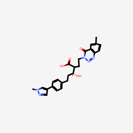 Cc1ccc2nnn(CCC(C(=O)O)[C@H](O)CCc3ccc(-c4cnn(C)c4)cc3)c(=O)c2c1